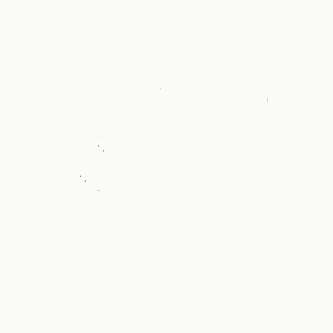 CCOc1ccc(C2=CCC(c3[nH]c(=O)[nH]c(=O)c3Cc3ccccc3)CC2)c(Cl)c1